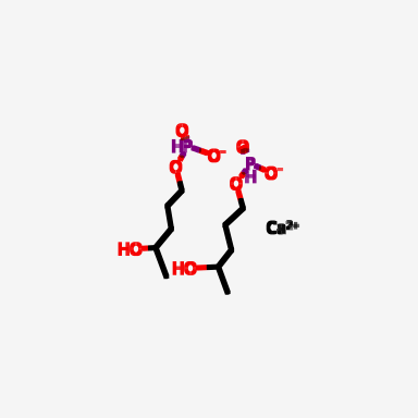 CC(O)CCCO[PH](=O)[O-].CC(O)CCCO[PH](=O)[O-].[Ca+2]